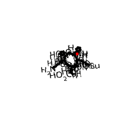 C[C@@H](O)[C@H](NC(=O)[C@@H]1CSSC[C@H](NC(=O)[C@H](N)CCCCN)C(=O)N[C@@H](Cc2ccc(O)cc2)C(=O)N[C@H](Cc2c[nH]c3ccccc23)C(=O)N[C@@H](CCCCNC(=O)OC(C)(C)C)C(=O)N[C@@H]([C@@H](C)O)C(=O)N1)C(=O)O